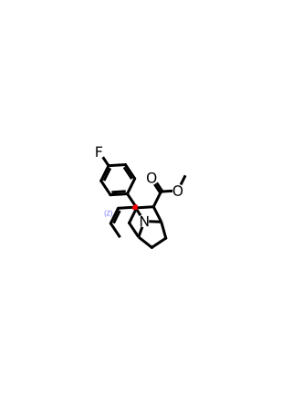 C/C=C\CN1C2CCC1C(C(=O)OC)C(c1ccc(F)cc1)C2